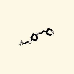 CN(C)CCOc1ccc(SCCc2ccncc2)cc1